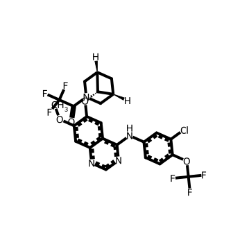 COc1cc2ncnc(Nc3ccc(OC(F)(F)F)c(Cl)c3)c2cc1O[C@H]1[C@@H]2C[C@H]1CN(C(=O)C(F)(F)F)C2